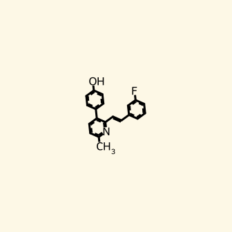 Cc1ccc(-c2ccc(O)cc2)c(C=Cc2cccc(F)c2)n1